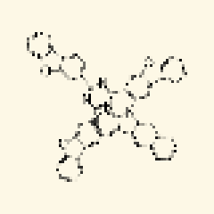 c1ccc2cc3c(cc2c1)c1ccccc1n3-c1cc2c(cc1-c1nc(-c3ccc4c(c3)oc3ccccc34)nc(-c3ccc4c(c3)oc3ccccc34)n1)oc1ccccc12